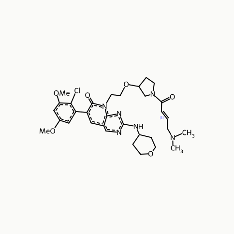 COc1cc(OC)c(Cl)c(-c2cc3cnc(NC4CCOCC4)nc3n(CCOC3CCN(C(=O)/C=C/CN(C)C)C3)c2=O)c1